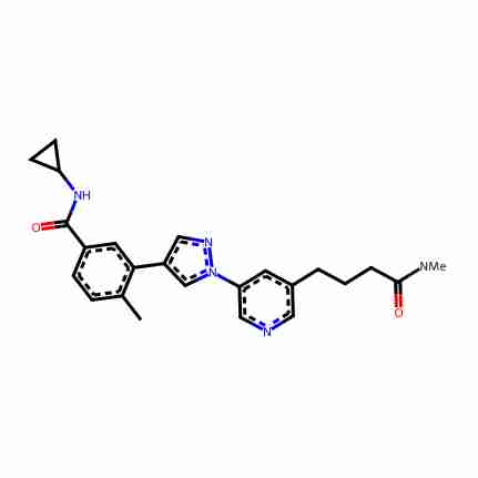 CNC(=O)CCCc1cncc(-n2cc(-c3cc(C(=O)NC4CC4)ccc3C)cn2)c1